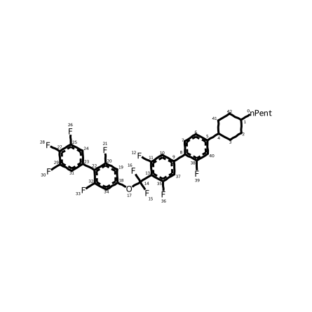 CCCCCC1CCC(c2ccc(-c3cc(F)c(C(F)(F)Oc4cc(F)c(-c5cc(F)c(F)c(F)c5)c(F)c4)c(F)c3)c(F)c2)CC1